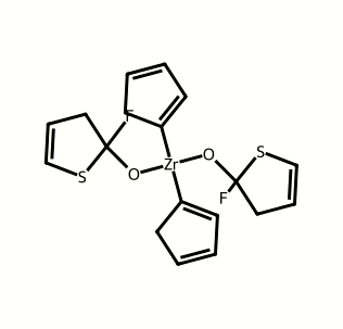 FC1([O][Zr]([O]C2(F)CC=CS2)([C]2=CC=CC2)[C]2=CC=CC2)CC=CS1